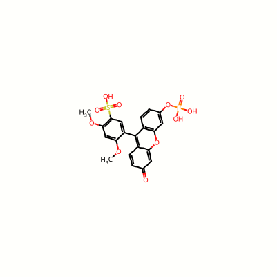 COc1cc(OC)c(S(=O)(=O)O)cc1-c1c2ccc(=O)cc-2oc2cc(OP(=O)(O)O)ccc12